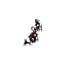 O=C(Cn1cc(Br)cn1)N1CCC23CCN(CC4CC4)C(Cc4ccc(O)cc42)C3(O)CC1